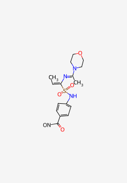 C/C=C(\N=C(/C)N1CCOCC1)S(=O)(=O)Nc1ccc(C(=O)N=O)cc1